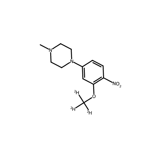 [2H]C([2H])([2H])Oc1cc(N2CCN(C)CC2)ccc1[N+](=O)[O-]